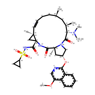 CCCOc1cnc(O[C@@H]2C[C@H]3C(=O)N[C@]4(C(=O)NS(=O)(=O)C5CC5)C[C@H]4/C=C\CC[C@@H](C)C[C@@H](C)[C@H](N(C(=O)O)C(C)(C)C)C(=O)N3C2)c2ccccc12